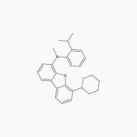 CC(C)c1ccccc1N(C)c1cccc2c1oc1c(C3CCCCC3)cccc12